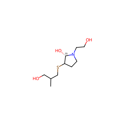 CC(CO)CSC1CCN(CCO)[C@H]1O